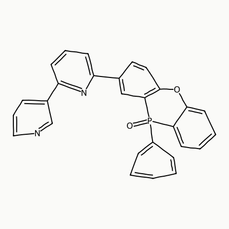 O=P1(c2ccccc2)c2ccccc2Oc2ccc(-c3cccc(-c4cccnc4)n3)cc21